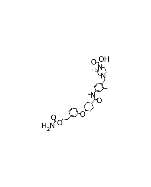 Cc1cc(N(C)C(=O)C2CCC(Oc3cccc(CCOC(N)=O)c3)CC2)ccc1CN1CCN(C(=O)O)[C@@H](C)C1